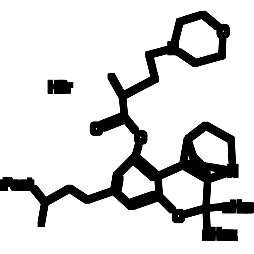 Br.CCCCCCC1(CCCCCC)Oc2cc(CCC(C)CCCCC)cc(OC(=O)C(C)CCN3CCOCC3)c2C2=C1N1CCC2CC1